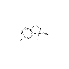 COC1(C)CCc2ccc(C)cc21